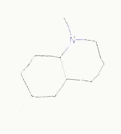 C[C@@H]1CCC2C(CCCN2C)C1